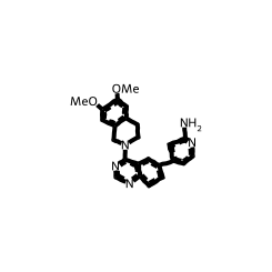 COc1cc2c(cc1OC)CN(c1ncnc3ccc(-c4ccnc(N)c4)cc13)CC2